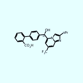 CCCc1cn2c([C@H](O)c3ccc(-c4ccccc4C(=O)O)cc3)cc(C(F)(F)F)cc2n1